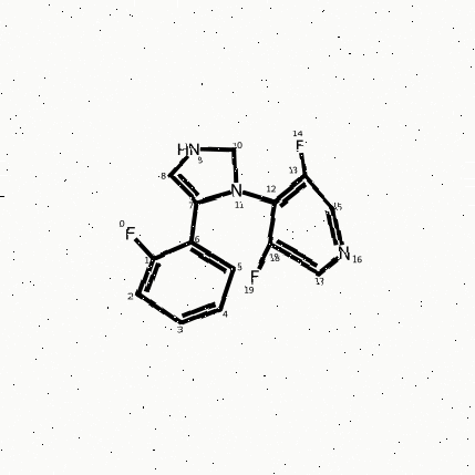 Fc1ccccc1C1=CNCN1c1c(F)cncc1F